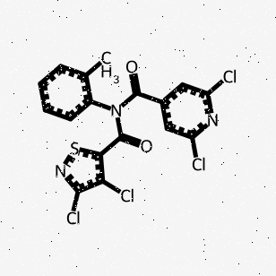 Cc1ccccc1N(C(=O)c1cc(Cl)nc(Cl)c1)C(=O)c1snc(Cl)c1Cl